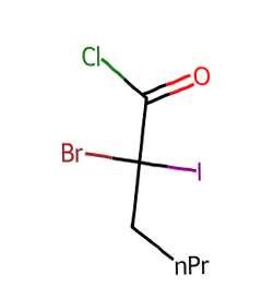 CCCCC(Br)(I)C(=O)Cl